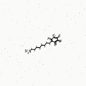 NCCCCCCCCc1c(F)c(F)c(F)c(F)c1F